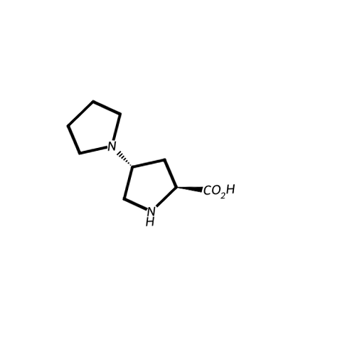 O=C(O)[C@@H]1C[C@@H](N2CCCC2)CN1